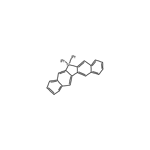 CC(C)[Si]1(C(C)C)c2cc3ccccc3cc2-c2cc3ccccc3cc21